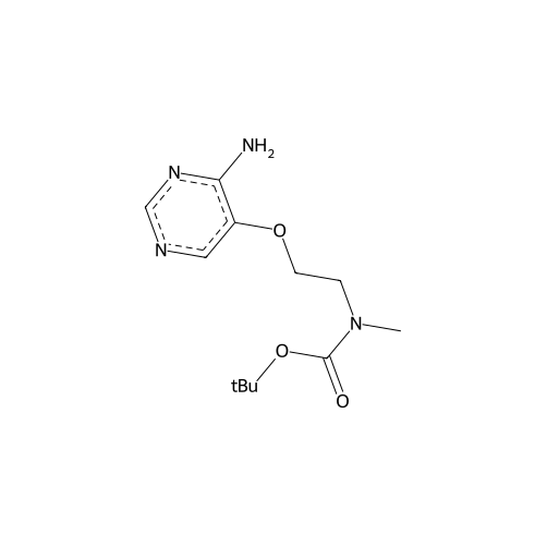 CN(CCOc1cncnc1N)C(=O)OC(C)(C)C